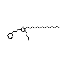 CCCCCCCCCCCCCCc1nc(CCCc2ccccc2)cn1CCCC